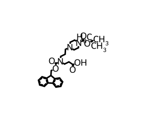 CC(C)(C)OC(=O)N1CCN(CCCN(CCC(=O)O)C(=O)OCC2c3ccccc3-c3ccccc32)CC1